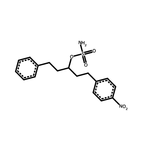 NS(=O)(=O)OC(CCc1ccccc1)CCc1ccc([N+](=O)[O-])cc1